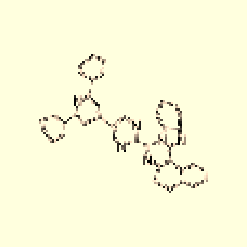 c1ccc(-c2cc(-c3cnc(-c4nc5ccc6ccccc6c5c5nc6ccccc6n45)nc3)cc(-c3ccccc3)n2)cc1